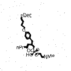 CCCCCCCCCCCCCCOc1ccc(CC(COP(=O)(O)OCCNC)CC(=O)CCC)cc1